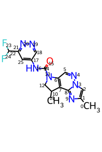 Cc1cn2ncc3c(c2n1)C(C)CN3C(=O)Nc1cnnc(C(F)F)c1